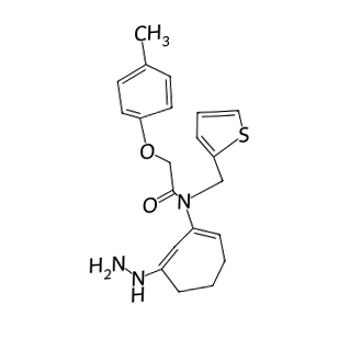 Cc1ccc(OCC(=O)N(Cc2cccs2)C2=CCCCC(NN)=C2)cc1